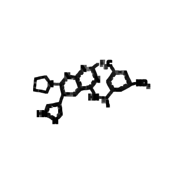 Cc1nc(N[C@H](C)c2cc([N+](=O)[O-])cc(C(F)(F)F)c2)c2cc(-c3cn[nH]c3)c(N3CCCC3)nc2n1